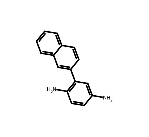 Nc1ccc(N)c(-c2ccc3ccccc3c2)c1